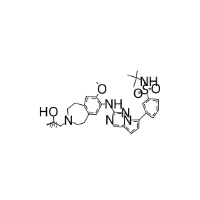 COc1cc2c(cc1Nc1ncc3ccc(-c4cccc(S(=O)(=O)NC(C)(C)C)c4)n3n1)CCN(C[C@@H](C)O)CC2